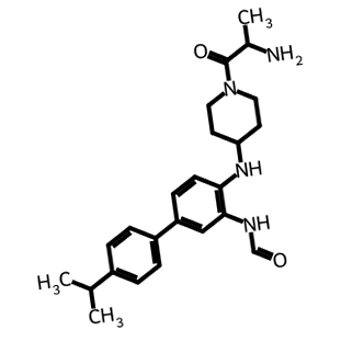 CC(N)C(=O)N1CCC(Nc2ccc(-c3ccc(C(C)C)cc3)cc2NC=O)CC1